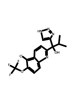 CC(C)C(O)(c1c[nH]nn1)c1ccc2c(Cl)c(OC(F)(F)F)ccc2n1